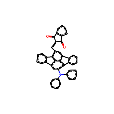 O=C1C(=Cc2cc3c4c(c(N(c5ccccc5)c5ccccc5)cc5c4c2-c2ccccc2-5)-c2ccccc2-3)C(=O)c2ccccc21